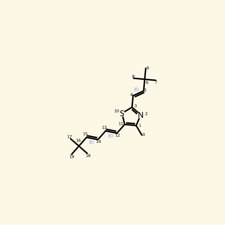 Cc1nc(/C=C/C(C)(C)C)sc1/C=C/C=C/C(C)(C)C